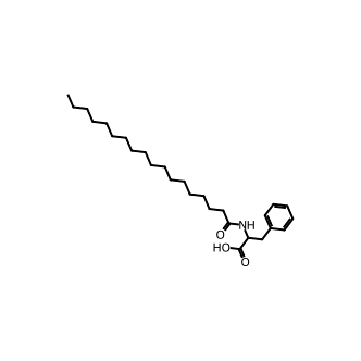 CCCCCCCCCCCCCCCCCC(=O)NC(Cc1ccccc1)C(=O)O